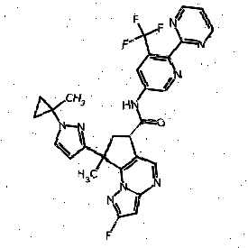 CC1(c2ccn(C3(C)CC3)n2)CC(C(=O)Nc2cnc(-c3ncccn3)c(C(F)(F)F)c2)c2cnc3cc(F)nn3c21